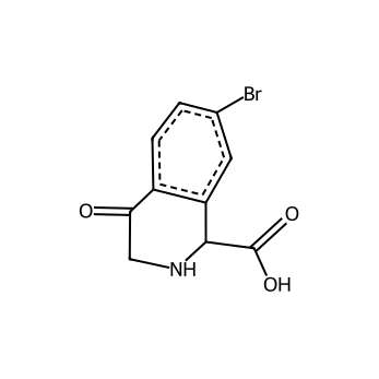 O=C1CNC(C(=O)O)c2cc(Br)ccc21